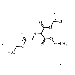 CCOC(=O)CNC(C(=O)OCC)C(=O)OCC